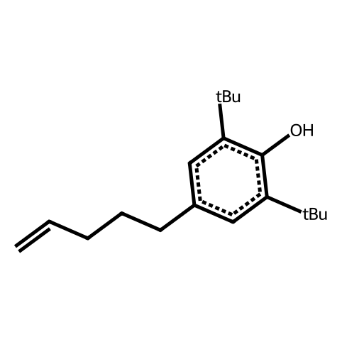 C=CCCCc1cc(C(C)(C)C)c(O)c(C(C)(C)C)c1